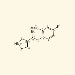 CC[C@H](Oc1ccc(F)cc1OC)[C@H]1CCNC1